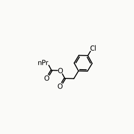 [CH2]CCC(=O)OC(=O)Cc1ccc(Cl)cc1